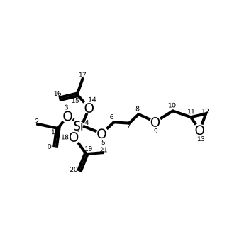 C=C(C)O[Si](OCCCOCC1CO1)(OC(=C)C)OC(=C)C